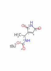 CC(NC(=O)OC(C)(C)C)C1=CC(=O)NC1=O